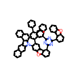 c1ccc(-c2nc(-c3cccc4oc5ccccc5c34)nc(-c3cccc4oc5cc(-n6c7cc8ccccc8cc7c7c8ccccc8ccc76)c(-c6ccc(-c7ccccc7)c(-c7ccccc7)c6)cc5c34)n2)cc1